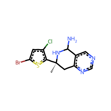 C[C@@]1(c2sc(Br)cc2Cl)Cc2ncncc2C(N)N1